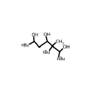 CCCCC(O)CC(O)C(C)(C(O)CCCC)C(C)(C)C